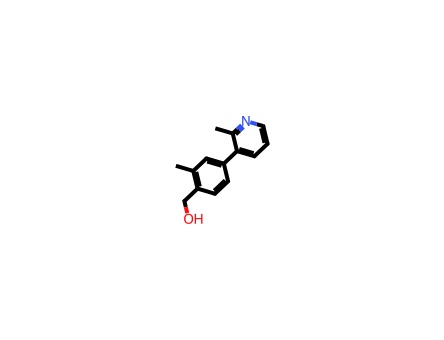 Cc1cc(-c2cccnc2C)ccc1CO